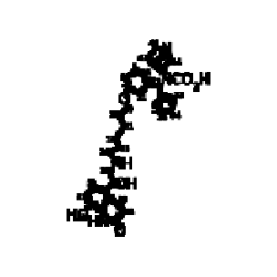 O=C(O)N(C(c1cccc(OCCCCCCNCC(O)c2ccc(O)c3[nH]c(=O)ccc23)c1)c1cccs1)C1CN2CCC1CC2